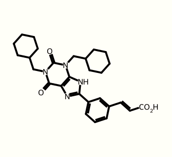 O=C(O)/C=C/c1cccc(-c2nc3c(=O)n(CC4CCCCC4)c(=O)n(CC4CCCCC4)c3[nH]2)c1